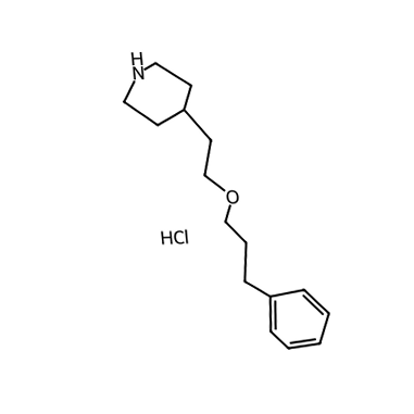 Cl.c1ccc(CCCOCCC2CCNCC2)cc1